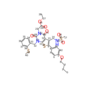 CCCCOc1ccc(-c2sc3c(c2CNS(C)(=O)=O)c(=O)n(CC(=O)OCC)c(=O)n3Cc2ccccc2SC)cc1